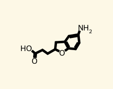 Nc1ccc2c(c1)CC(CCC(=O)O)O2